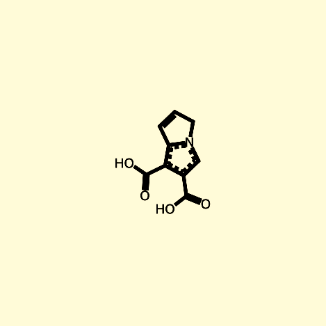 O=C(O)c1cn2c(c1C(=O)O)C=CC2